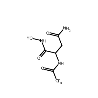 NC(=O)CC(NC(=O)C(F)(F)F)C(=O)NO